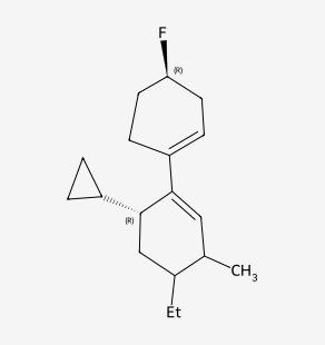 CCC1C[C@H](C2CC2)C(C2=CC[C@H](F)CC2)=CC1C